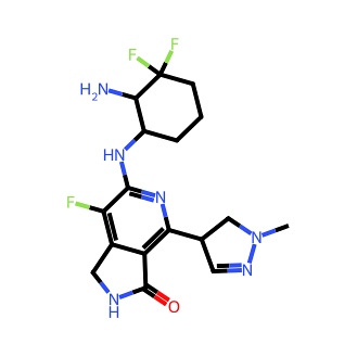 CN1CC(c2nc(NC3CCCC(F)(F)C3N)c(F)c3c2C(=O)NC3)C=N1